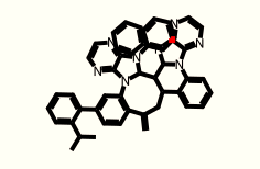 C=C1CC2c3ccccc3N3c4nccnc4N(c4ccccc4)C3C2C2N(c3ccccc3)c3nccnc3N2c2cc(-c3ccccc3C(C)C)ccc21